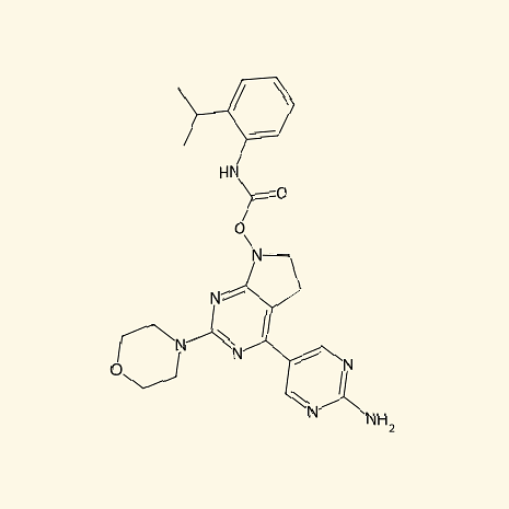 CC(C)c1ccccc1NC(=O)ON1CCc2c(-c3cnc(N)nc3)nc(N3CCOCC3)nc21